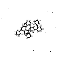 c1ccc(-c2nc(-c3cccc4oc5ccccc5c34)cc(-c3cccc4oc5cc(-c6ccccc6)c6ccccc6c5c34)n2)cc1